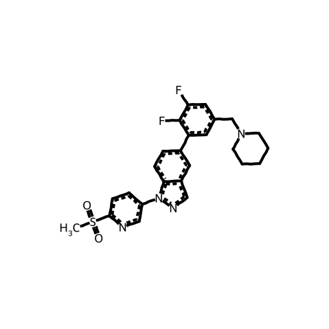 CS(=O)(=O)c1ccc(-n2ncc3cc(-c4cc(CN5CCCCC5)cc(F)c4F)ccc32)cn1